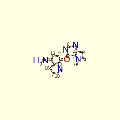 Cn1ccc2ncnc(Oc3ccc(N)c4cccnc34)c21